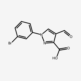 O=Cc1cn(-c2cccc(Br)c2)nc1C(=O)O